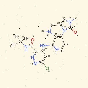 [2H]C([2H])([2H])NC(=O)c1nnc(Cl)cc1Nc1nccc2c1N(C)Cc1cn(C)c(=O)n1-2